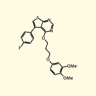 COc1ccc(OCCCOc2ncnc3scc(-c4ccc(F)cc4)c23)cc1OC